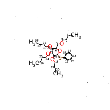 CCCCOCC1O[C@@H](Sc2ccccc2)C(OCCCC)[C@@H](OCCCC)[C@@H]1OCCCC